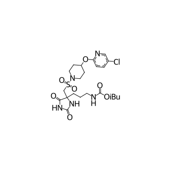 CC(C)COC(=O)NCCCC1(CS(=O)(=O)N2CCC(Oc3ccc(Cl)cn3)CC2)NC(=O)NC1=O